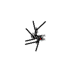 CCCCCCCCCCCCCC(=O)O[C@H](CCCCCCCCCCC)CC(=O)NCC(CO)(CO)COC1OC(CO)[C@@H](OP(=O)(O)O)C(OC(=O)C[C@@H](CCCCCCCCCCC)OC(=O)CCCCCCCCCCCCC)[C@@H]1NC(=O)C[C@@H](CCCCCCCCCCC)OC(=O)CCCCCCCCCCCCC